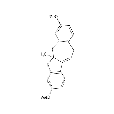 COc1ccc2c(c1)CC1(C)Cc3cc(OC)ccc3C1=CC2